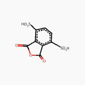 O=C1OC(=O)c2c(S(=O)(=O)O)ccc(S(=O)(=O)O)c21